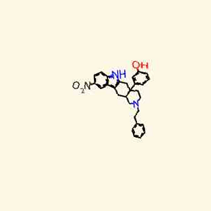 O=[N+]([O-])c1ccc2[nH]c3c(c2c1)CC1CN(CCc2ccccc2)CCC1(c1cccc(O)c1)C3